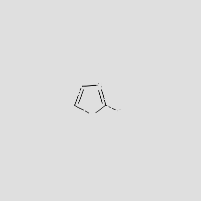 CCc1n[c]cs1